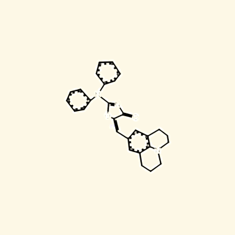 O=C1N=C(N(c2ccccc2)c2ccccc2)O/C1=C/c1cc2c3c(c1)CCCN3CCC2